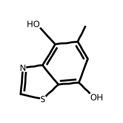 Cc1cc(O)c2scnc2c1O